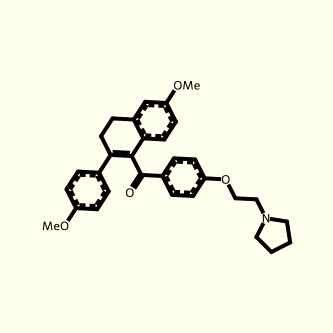 COc1ccc(C2=C(C(=O)c3ccc(OCCN4CCCC4)cc3)c3ccc(OC)cc3CC2)cc1